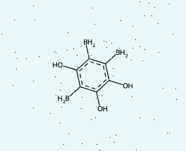 Bc1c(B)c(O)c(O)c(B)c1O